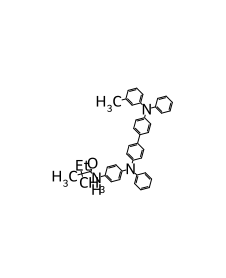 CCC(C)(C)C(=O)Nc1ccc(N(c2ccccc2)c2ccc(-c3ccc(N(c4ccccc4)c4cccc(C)c4)cc3)cc2)cc1